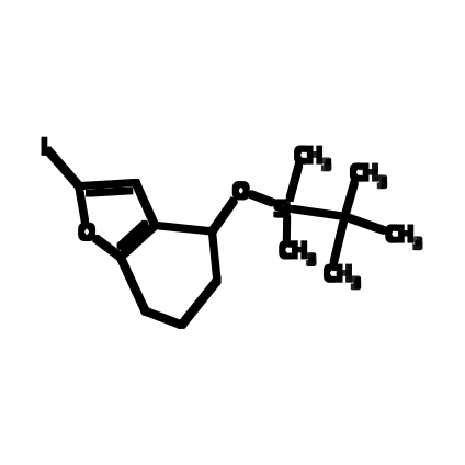 CC(C)(C)[Si](C)(C)OC1CCCc2oc(I)cc21